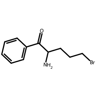 NC(CCCBr)C(=O)c1ccccc1